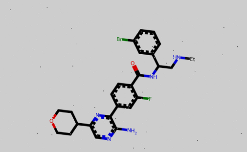 CCNCC(NC(=O)c1ccc(-c2nc(C3CCOCC3)cnc2N)cc1F)c1cccc(Br)c1